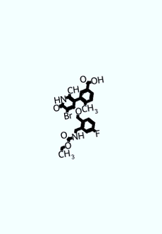 CCOC(=O)NCc1cc(F)ccc1COc1c(-c2cc(C(=O)O)ccc2C)c(C)[nH]c(=O)c1Br